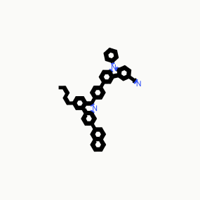 C/C=C\C=C/c1ccc2c(-c3ccc(-c4ccc5c(c4)c4cc(C#N)ccc4n5-c4ccccc4)cc3)nc3cc(-c4ccc5ccccc5c4)ccc3c2c1